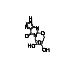 O=c1c2nc[nH]c2nc2n1C1OC(CO2)C(O)C1O